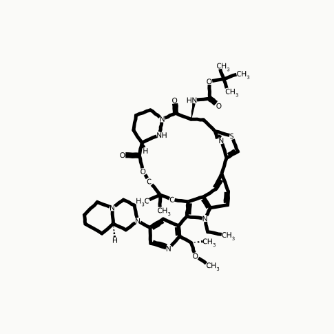 CCn1c(-c2cc(N3CCN4CCCC[C@@H]4C3)cnc2[C@H](C)OC)c2c3cc(ccc31)-c1csc(n1)C[C@H](NC(=O)OC(C)(C)C)C(=O)N1CCC[C@H](N1)C(=O)OCC(C)(C)C2